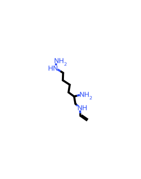 C=CNCC(N)CCCCNN